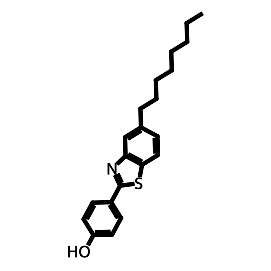 CCCCCCCCc1ccc2sc(-c3ccc(O)cc3)nc2c1